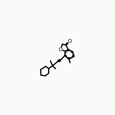 Cc1ccc2c(c1C#CC(C)(C)C1CCCCC1)OCC2=O